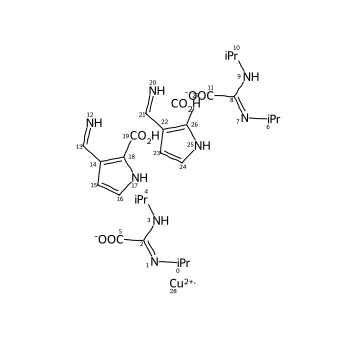 CC(C)N=C(NC(C)C)C(=O)[O-].CC(C)N=C(NC(C)C)C(=O)[O-].N=Cc1cc[nH]c1C(=O)O.N=Cc1cc[nH]c1C(=O)O.[Cu+2]